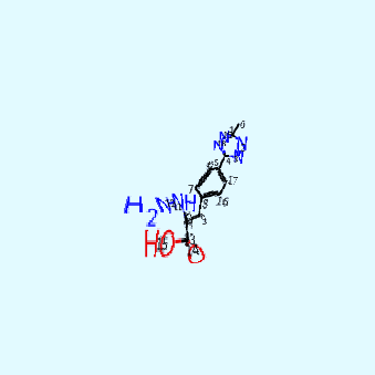 Cc1nnc(-c2ccc(C[C@H](NN)C(=O)O)cc2)nn1